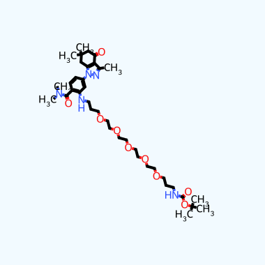 Cc1nn(-c2ccc(C(=O)N(C)C)c(NCCCOCCOCCOCCOCCOCCCNC(=O)OC(C)(C)C)c2)c2c1C(=O)CC(C)(C)C2